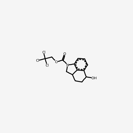 O=C(OCC(Cl)(Cl)Cl)N1CC2CCC(O)c3cccc1c32